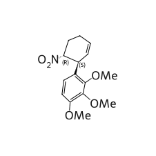 COc1ccc([C@@H]2C=CCC[C@H]2[N+](=O)[O-])c(OC)c1OC